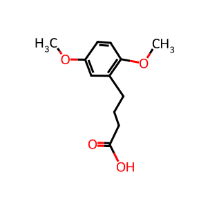 COc1ccc(OC)c(CCCC(=O)O)c1